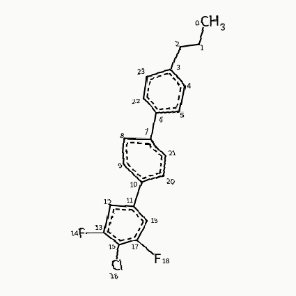 CCCc1ccc(-c2ccc(-c3cc(F)c(Cl)c(F)c3)cc2)cc1